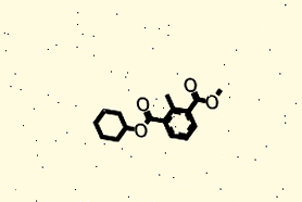 COC(=O)c1cccc(C(=O)OC2CCCCC2)c1C